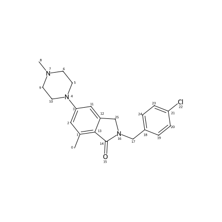 Cc1cc(N2CCN(C)CC2)cc2c1C(=O)N(Cc1ccc(Cl)cc1)C2